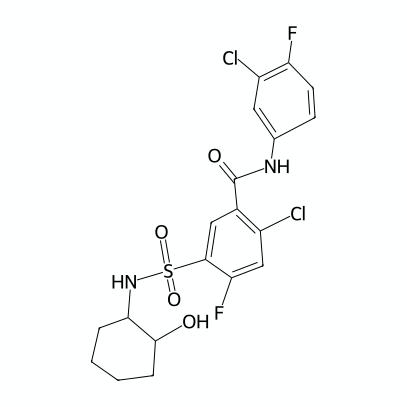 O=C(Nc1ccc(F)c(Cl)c1)c1cc(S(=O)(=O)NC2CCCCC2O)c(F)cc1Cl